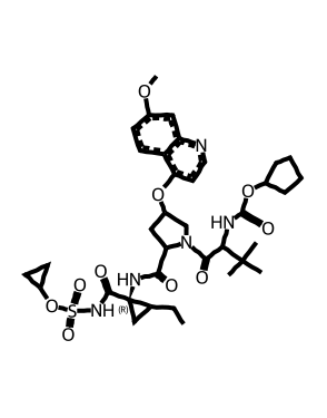 CCC1C[C@]1(NC(=O)C1CC(Oc2ccnc3cc(OC)ccc23)CN1C(=O)C(NC(=O)OC1CCCC1)C(C)(C)C)C(=O)NS(=O)(=O)OC1CC1